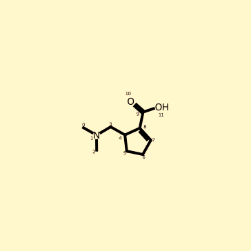 CN(C)CC1CCC=C1C(=O)O